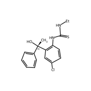 CCNC(=S)Nc1ccc(Cl)cc1[C@@](C)(O)c1ccccc1